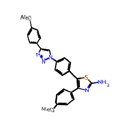 COc1ccc(-c2cn(-c3ccc(-c4sc(N)nc4-c4ccc(OC)cc4)cc3)nn2)cc1